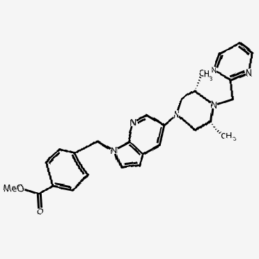 COC(=O)c1ccc(Cn2ccc3cc(N4C[C@@H](C)N(Cc5ncccn5)[C@@H](C)C4)cnc32)cc1